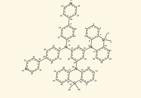 C[Si]1(C)c2ccccc2N(c2cc(N(c3ccc(-c4ccncc4)cc3)c3ccc(-c4ccncc4)cc3)cc(N3c4ccccc4[Si](C)(C)c4ccccc43)c2)c2ccccc21